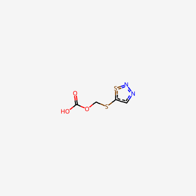 O=C(O)OCSc1cnns1